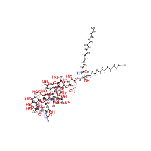 CCCCCCCCCCCCC/C=C/[C@@H](O)[C@H](CO[C@@H]1OC(CO)[C@@H](O[C@@H]2OC(CO)[C@H](O[C@@H]3OC(CO)[C@H](O)[C@H](O[C@@H]4OC(CO)[C@H](O[C@@H]5OC(CO)[C@H](O)[C@H](O)C5NC(C)=O)[C@H](O[C@]5(C(=O)O)CC(O)[C@@H](NC(C)=O)C([C@H](O)[C@H](O)CO)O5)C4O)C3NC(C)=O)[C@H](O[C@]3(C(=O)O)CC(O)[C@@H](NC(C)=O)C([C@H](O)[C@H](O)CO)O3)C2O)[C@H](O)C1O)NC(=O)CCCCCCCCCCCCCCC